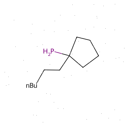 CCCCCCC1(P)CCCC1